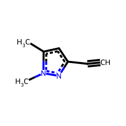 C#Cc1cc(C)n(C)n1